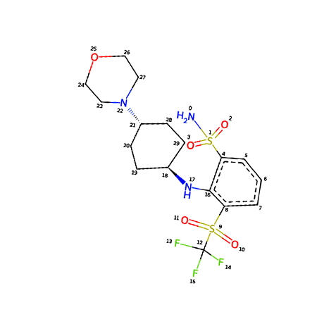 NS(=O)(=O)c1cccc(S(=O)(=O)C(F)(F)F)c1N[C@H]1CC[C@H](N2CCOCC2)CC1